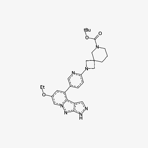 CCOc1cc(-c2ccc(N3CC4(CCCN(C(=O)OC(C)(C)C)C4)C3)nc2)c2c3cn[nH]c3nn2c1